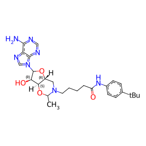 CC1O[C@@H]2[C@@H](CN1CCCCC(=O)Nc1ccc(C(C)(C)C)cc1)OC(n1cnc3c(N)ncnc31)[C@@H]2O